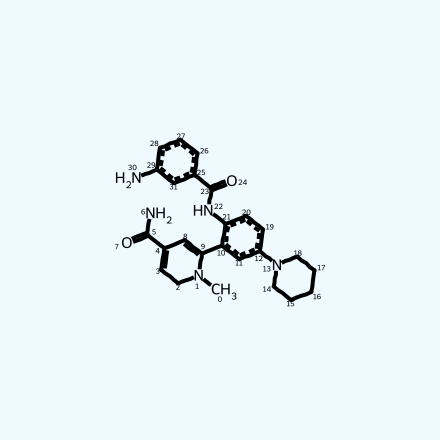 CN1CC=C(C(N)=O)C=C1c1cc(N2CCCCC2)ccc1NC(=O)c1cccc(N)c1